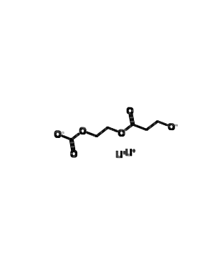 O=C([O-])OCCOC(=O)CC[O-].[Li+].[Li+]